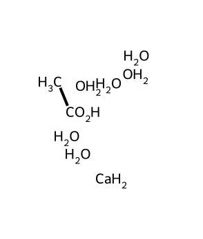 CC(=O)O.O.O.O.O.O.O.[CaH2]